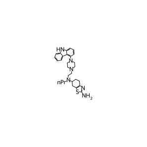 CCCN(CCN1CCN(c2cccc3[nH]c4ccccc4c23)CC1)[C@H]1CCc2nc(N)sc2C1